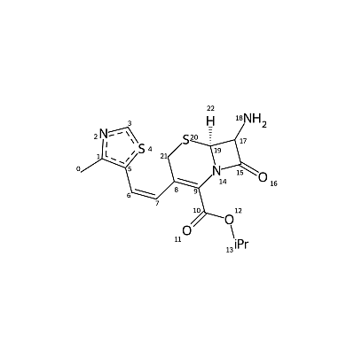 Cc1ncsc1/C=C\C1=C(C(=O)OC(C)C)N2C(=O)C(N)[C@@H]2SC1